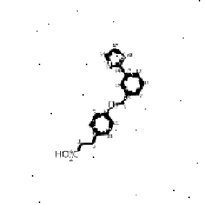 O=C(O)CCc1ccc(OCc2cccc(-c3nccs3)c2)cc1